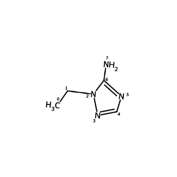 CCn1ncnc1N